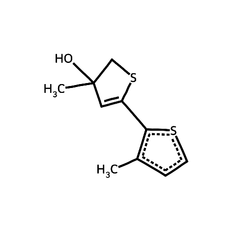 Cc1ccsc1C1=CC(C)(O)CS1